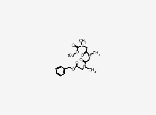 CN(CC(=O)OCc1ccccc1)C(=O)CN(C)C(=O)CN(C)C(=O)OC(C)(C)C